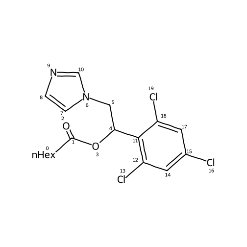 CCCCCCC(=O)OC(Cn1ccnc1)c1c(Cl)cc(Cl)cc1Cl